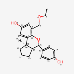 CCOCc1cc(O)cc2c1OC(c1ccc(O)cc1)C1CCC[C@@H]21